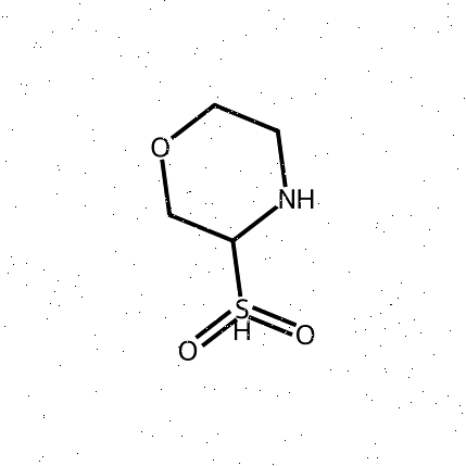 O=[SH](=O)C1COCCN1